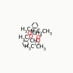 CC(C)(OOC(C)(C)c1ccccc1)c1ccccc1.CC(C)COOCC(C)C